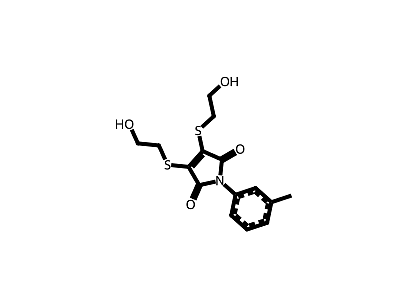 Cc1cccc(N2C(=O)C(SCCO)=C(SCCO)C2=O)c1